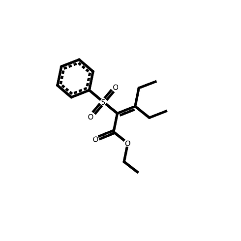 CCOC(=O)C(=C(CC)CC)S(=O)(=O)c1ccccc1